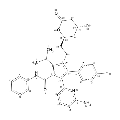 CC(C)c1c(C(=O)Nc2ccccc2)c(-c2ccnc(N)n2)c(-c2ccc(F)cc2)n1CC[C@@H]1C[C@@H](O)CC(=O)O1